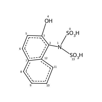 O=S(=O)(O)N(c1c(O)ccc2ccccc12)S(=O)(=O)O